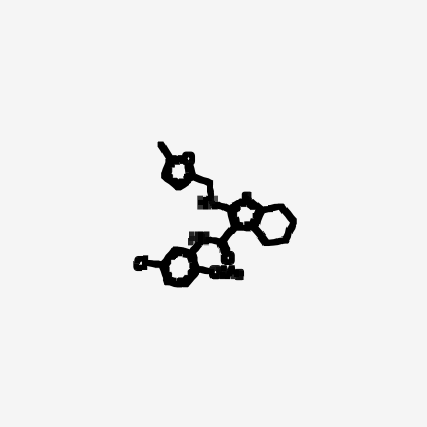 COc1ccc(Cl)cc1NC(=O)c1c(NCc2ccc(C)o2)sc2c1CCCC2